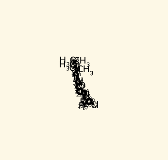 CN(C(=O)OC(C)(C)C)C1CCN(C2=NC(=O)C(=Cc3ccc4c(cnn4Cc4ccc(Cl)cc4C(F)(F)F)c3)S2)C1